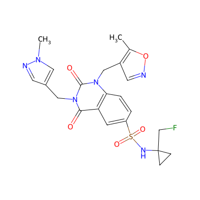 Cc1oncc1Cn1c(=O)n(Cc2cnn(C)c2)c(=O)c2cc(S(=O)(=O)NC3(CF)CC3)ccc21